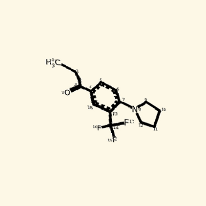 CCC(=O)c1ccc(N2CCCC2)c(C(F)(F)F)c1